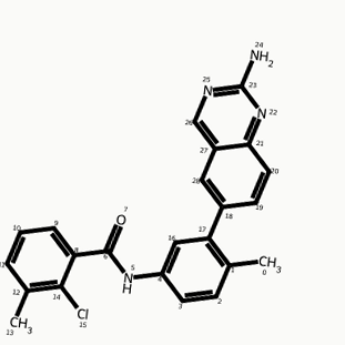 Cc1ccc(NC(=O)c2cccc(C)c2Cl)cc1-c1ccc2nc(N)ncc2c1